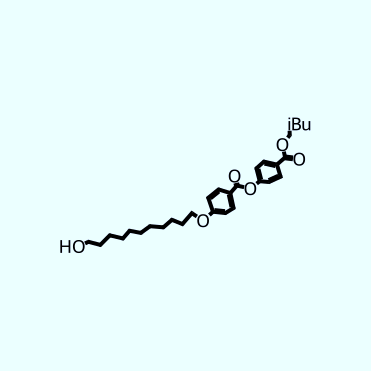 CCC(C)COC(=O)c1ccc(OC(=O)c2ccc(OCCCCCCCCCCCO)cc2)cc1